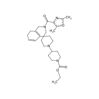 CCOC(=O)N1CCC(N2CCC3(CC2)CN(C(=O)c2nc(C)oc2C)CC2=C3C=CCC2)CC1